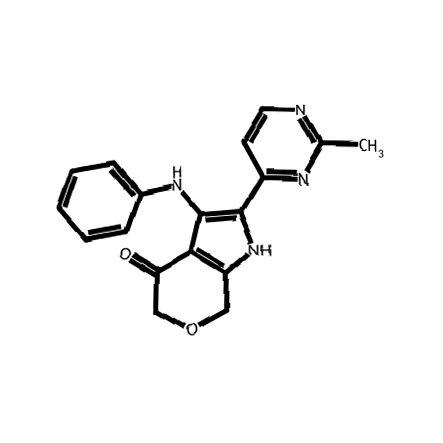 Cc1nccc(-c2[nH]c3c(c2Nc2ccccc2)C(=O)COC3)n1